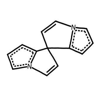 C1=CC2(C=Cn3cccc32)c2cccn21